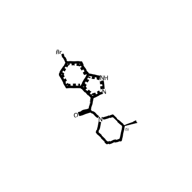 C[C@H]1CCCN(C(=O)c2n[nH]c3cc(Br)ccc23)C1